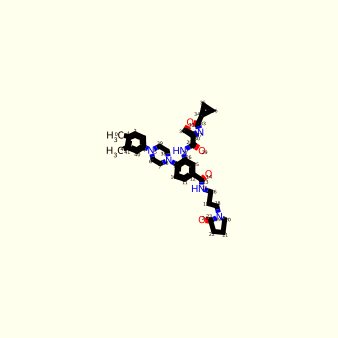 Cc1ccc(N2CCN(c3ccc(C(=O)NCCCN4CCCC4=O)cc3NC(=O)c3coc(C4CC4)n3)CC2)cc1C